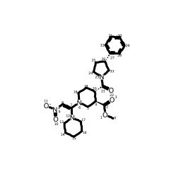 COC(=O)[C@H]1CN(/C(=C/[N+](=O)[O-])N2CCCCC2)CC[C@@H]1C(=O)N1CC[C@H](c2ccccc2)C1